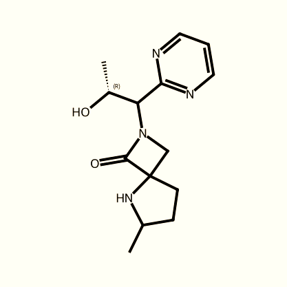 CC1CCC2(CN(C(c3ncccn3)[C@@H](C)O)C2=O)N1